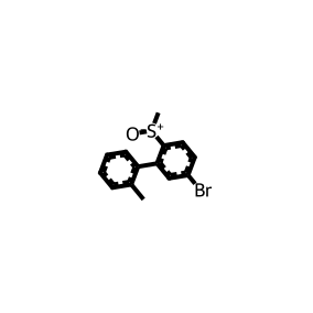 Cc1ccccc1-c1cc(Br)ccc1[S+](C)[O-]